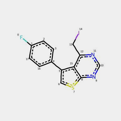 Fc1ccc(-c2csc3ncnc(CI)c23)cc1